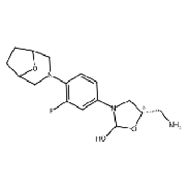 NC[C@H]1CN(c2ccc(N3CC4CCC(C3)O4)c(F)c2)C(O)O1